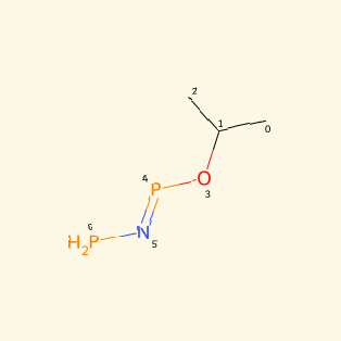 CC(C)OP=NP